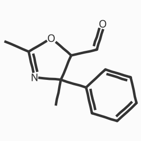 CC1=NC(C)(c2ccccc2)C(C=O)O1